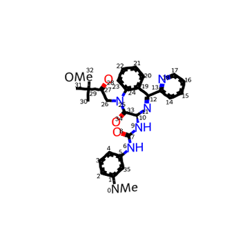 CNc1cccc(NC(=O)N[C@@H]2N=C(c3ccccn3)c3ccccc3N(CC(=O)C(C)(C)OC)C2=O)c1